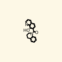 O=C(c1ccc2cccnc2c1O)N1CCCc2ccccc21